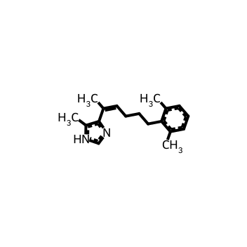 CC(=CCCCc1c(C)cccc1C)c1nc[nH]c1C